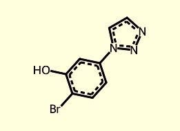 Oc1cc(-n2ccnn2)ccc1Br